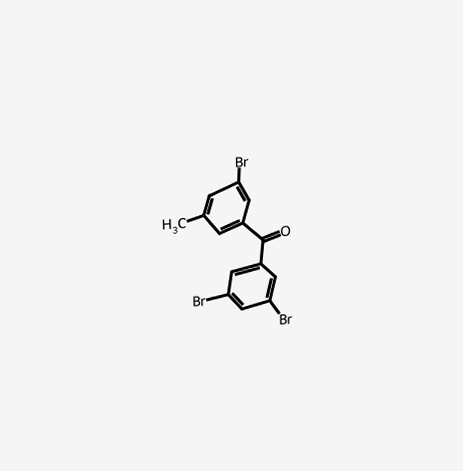 Cc1cc(Br)cc(C(=O)c2cc(Br)cc(Br)c2)c1